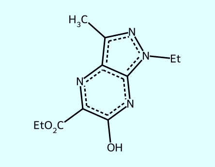 CCOC(=O)c1nc2c(C)nn(CC)c2nc1O